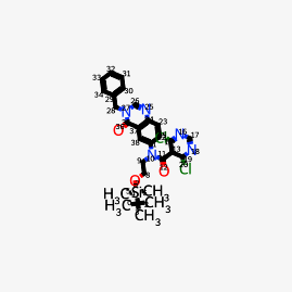 CC(C)(C)[Si](C)(C)OCCN(C(=O)C1C(Cl)=NC=NC1Cl)c1ccc2ncn(Cc3ccccc3)c(=O)c2c1